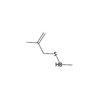 C=C(C)CSBC